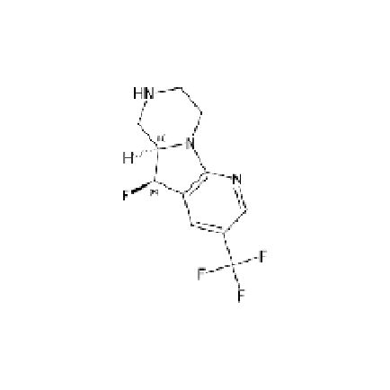 F[C@@H]1c2cc(C(F)(F)F)cnc2N2CCNC[C@H]12